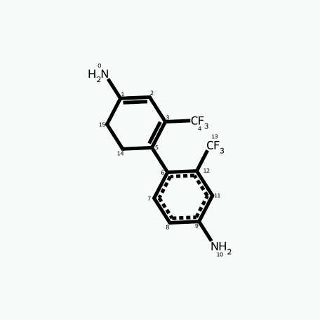 NC1=CC(C(F)(F)F)=C(c2ccc(N)cc2C(F)(F)F)CC1